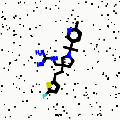 Cc1ccc(C(C)(C)N2CC[C@](CCc3ccc(F)s3)(CNC(=N)N)C2)cn1